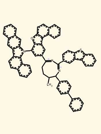 CC1CC/C(c2cc(-n3c4cc5ccccc5cc4c4ccc5ccccc5c43)c3oc4ccc5ccccc5c4c3c2)=N\C(c2ccc3sc4ccccc4c3c2)=N/C1c1ccc(-c2ccccc2)cc1